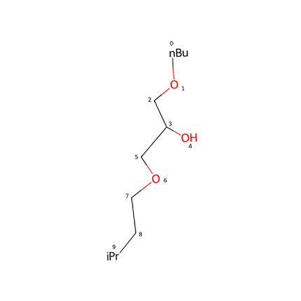 CCCCOCC(O)COCCC(C)C